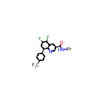 CC(C)NC(=O)c1cnc2c(-c3ccc(C(F)(F)F)cc3)cc(F)c(F)c2c1